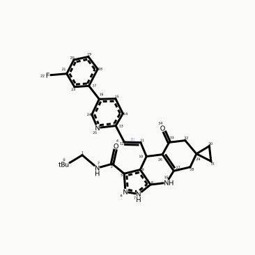 CC(C)(C)CNC(=O)c1n[nH]c2c1C(/C=C/c1ccc(-c3cccc(F)c3)cn1)C1=C(CC3(CC3)CC1=O)N2